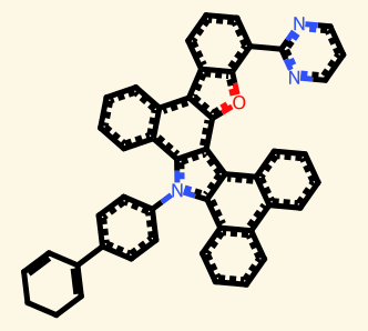 C1=CC(c2ccc(-n3c4c5ccccc5c5ccccc5c4c4c5oc6c(-c7ncccn7)cccc6c5c5ccccc5c43)cc2)=CCC1